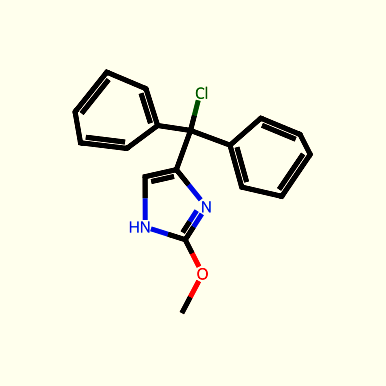 COc1nc(C(Cl)(c2ccccc2)c2ccccc2)c[nH]1